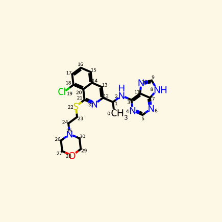 CC(Nc1ncnc2[nH]cnc12)c1cc2cccc(Cl)c2c(SCCN2CCOCC2)n1